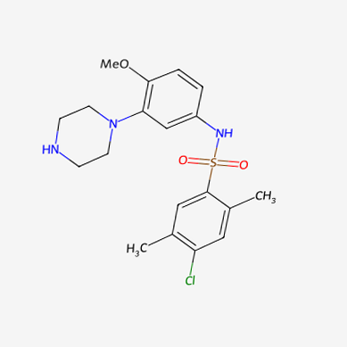 COc1ccc(NS(=O)(=O)c2cc(C)c(Cl)cc2C)cc1N1CCNCC1